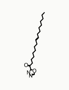 CCCCCCCCC=CCCCCCCCC(=O)c1nnco1